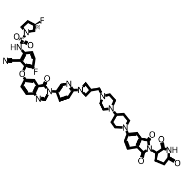 N#Cc1c(NS(=O)(=O)N2CC[C@@H](F)C2)ccc(F)c1Oc1ccc2ncn(-c3ccc(N4CC(CN5CCN(C6CCN(c7ccc8c(c7)C(=O)N(C7CCC(=O)NC7=O)C8=O)CC6)CC5)C4)nc3)c(=O)c2c1